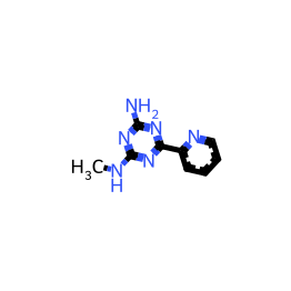 CNc1nc(N)nc(-c2ccccn2)n1